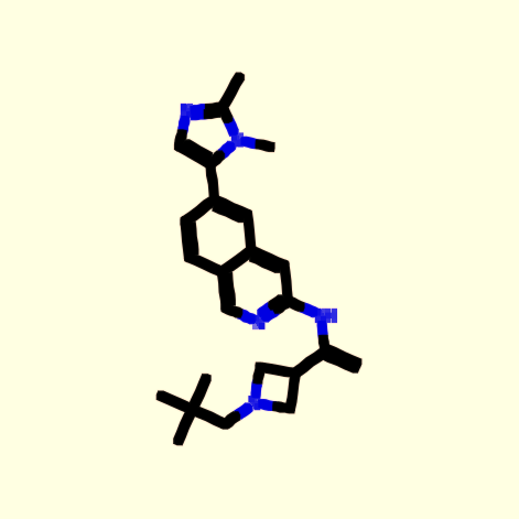 C=C(Nc1cc2cc(-c3cnc(C)n3C)ccc2cn1)C1CN(CC(C)(C)C)C1